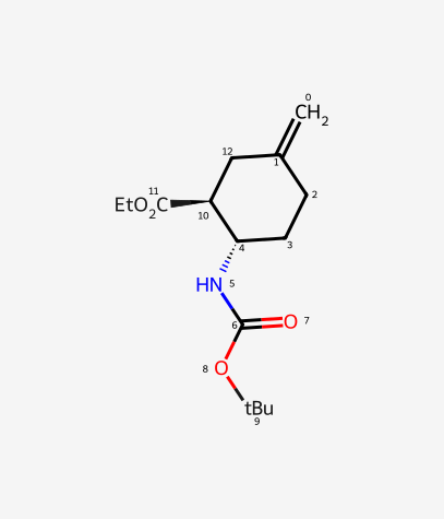 C=C1CC[C@H](NC(=O)OC(C)(C)C)[C@@H](C(=O)OCC)C1